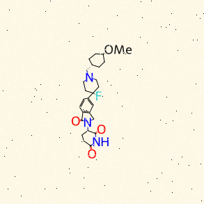 CO[C@H]1CC[C@H](CN2CCC(F)(c3ccc4c(c3)CN(C3CCC(=O)NC3=O)C4=O)CC2)CC1